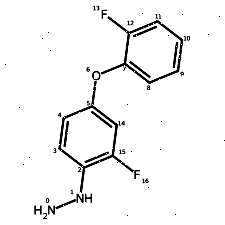 NNc1ccc(Oc2ccccc2F)cc1F